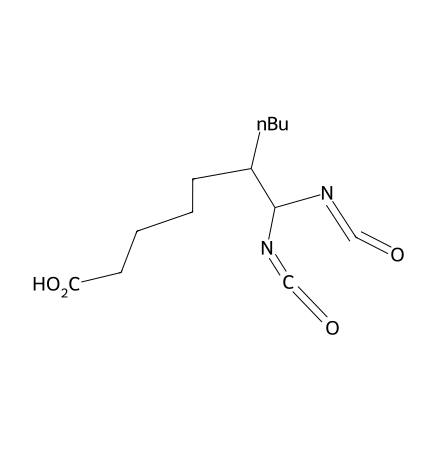 CCCCC(CCCCC(=O)O)C(N=C=O)N=C=O